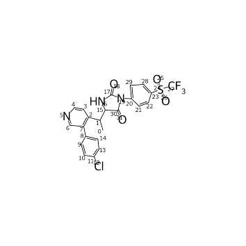 CC(c1ccncc1-c1ccc(Cl)cc1)C1NC(=O)N(c2ccc(S(=O)(=O)C(F)(F)F)cc2)C1=O